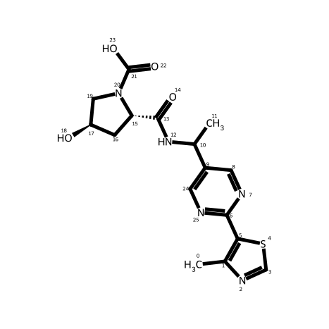 Cc1ncsc1-c1ncc(C(C)NC(=O)[C@@H]2C[C@@H](O)CN2C(=O)O)cn1